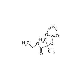 CCOC(=O)C(C)(C)OP1OC=CCO1